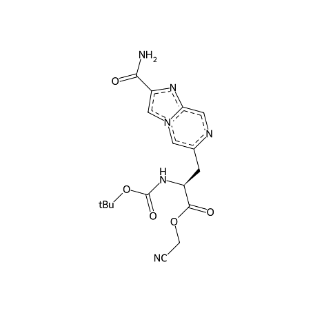 CC(C)(C)OC(=O)N[C@@H](Cc1cn2cc(C(N)=O)nc2cn1)C(=O)OCC#N